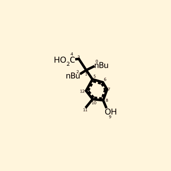 CCCCC(CCCC)(CC(=O)O)c1ccc(O)c(C)c1